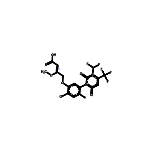 CO/C(=C\C(=O)O)COc1cc(-n2c(=O)cc(C(F)(F)F)n(C(F)F)c2=O)c(F)cc1Cl